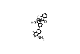 Cc1nnc(N)c2ccc(-c3ccc(NC(=O)c4ccccc4Cl)c(B(O)O)c3)cc12